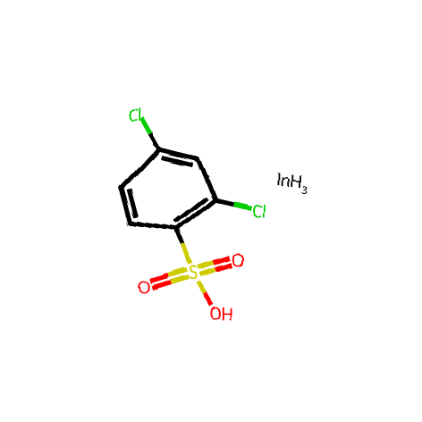 O=S(=O)(O)c1ccc(Cl)cc1Cl.[InH3]